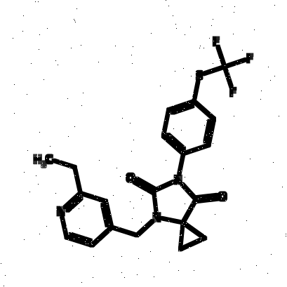 CCc1cc(CN2C(=O)N(c3ccc(SC(F)(F)F)cc3)C(=O)C23CC3)ccn1